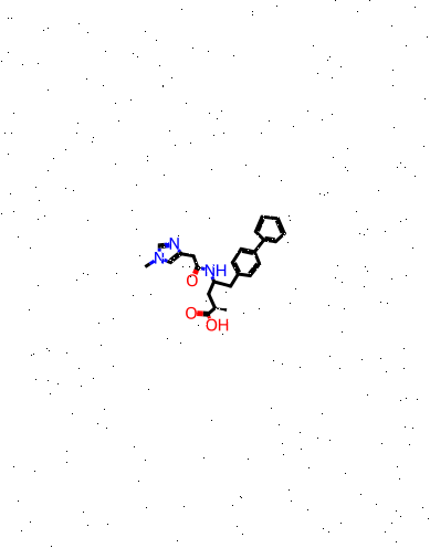 C[C@H](CC(Cc1ccc(-c2ccccc2)cc1)NC(=O)Cc1cn(C)cn1)C(=O)O